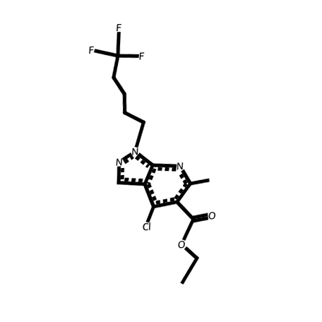 CCOC(=O)c1c(C)nc2c(cnn2CCCCC(F)(F)F)c1Cl